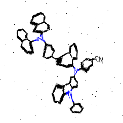 N#Cc1ccc(N(c2ccc3c(c2)c2ccccc2n3-c2ccccc2)c2ccc(-c3ccc(N(c4ccc5ccccc5c4)c4cccc5ccccc45)cc3)c3ccccc23)cc1